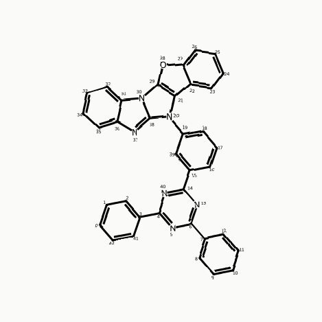 c1ccc(-c2nc(-c3ccccc3)nc(-c3cccc(-n4c5c6ccccc6oc5n5c6ccccc6nc45)c3)n2)cc1